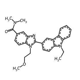 CCn1c2ccccc2c2cc(-c3nc4cc(C(=O)N(C)C)ccc4n3CCOC)ccc21